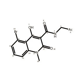 CC(=O)CNC(=O)c1c(O)c2c(Br)cccc2n(C)c1=O